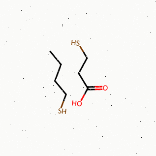 CCCCS.O=C(O)CCS